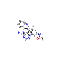 C=CC(=O)N[C@@H]1Cc2c(c(-c3cnc4ccccc4c3)c3c(N)ncnn23)[C@H](C)C1